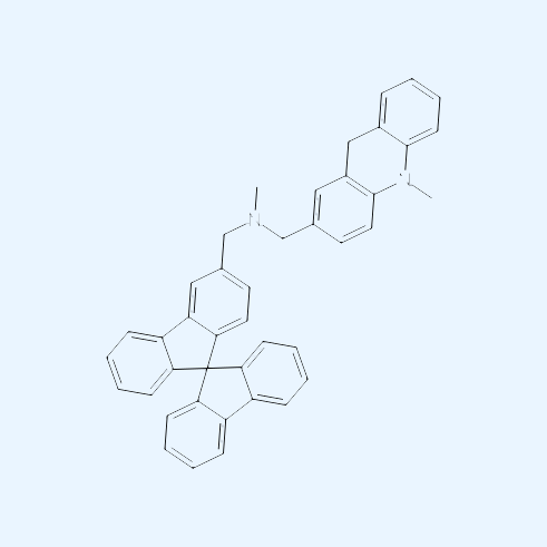 CN(Cc1ccc2c(c1)Cc1ccccc1N2C)Cc1ccc2c(c1)-c1ccccc1C21c2ccccc2-c2ccccc21